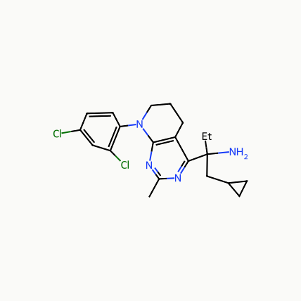 CCC(N)(CC1CC1)c1nc(C)nc2c1CCCN2c1ccc(Cl)cc1Cl